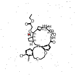 CCOC(=O)CO[C@H]1C2=C[C@@H](C2)[C@H](C)[C@@H](C)S(=O)(=O)NC(=O)c2ccc3c(c2)N(Cc2ccc(Cl)c(F)c2CCCCO3)C[C@@H]2CC[C@H]21